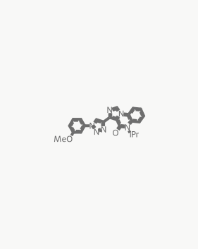 COc1cccc(-n2cc(-c3ncn4c3c(=O)n(C(C)C)c3ccccc34)nn2)c1